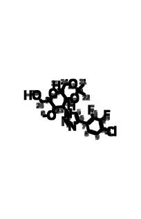 CO[C@@H]1C(n2cc(-c3ccc(Cl)c(F)c3F)nn2)[C@H]2OC(C)(C)OC[C@H]2O[C@@H]1CO